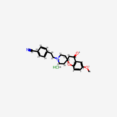 COc1ccc2c(c1)C(=O)CC1(CCN(CCc3ccc(C#N)cc3)CC1)O2.Cl